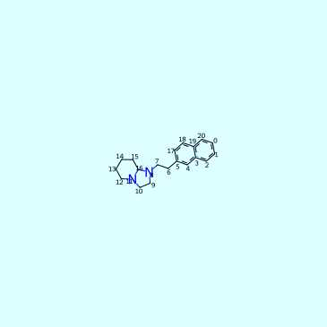 c1ccc2cc(CCN3CCN4CCCCC43)ccc2c1